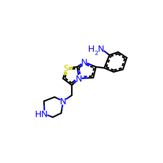 Nc1ccccc1-c1cn2c(CN3CCNCC3)csc2n1